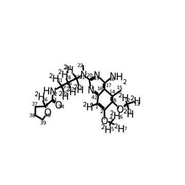 [2H]c1c(OC([2H])([2H])[2H])c(OC([2H])([2H])[2H])c(C)c2c(N)nc(N(C)C([2H])([2H])C([2H])([2H])C([2H])([2H])NC(=O)C3([2H])CCCO3)nc12